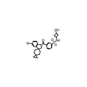 O=C(c1cccc(S(=O)(=O)NC2CC(O)C2)c1)N1CC2(CCC3(CC3)CC2)c2cc(Br)ccc21